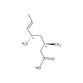 C[C@@H](CC(=O)O)C[C@H](C)/C=C/I